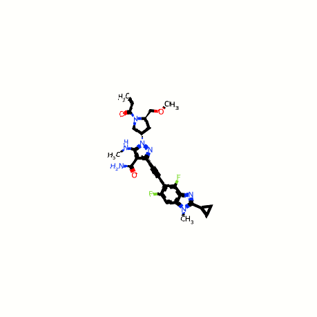 C=CC(=O)N1C[C@@H](n2nc(C#Cc3c(F)cc4c(nc(C5CC5)n4C)c3F)c(C(N)=O)c2NC)C[C@@H]1COC